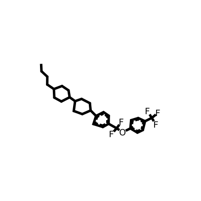 CCCCC1CCC(C2CCC(c3ccc(C(F)(F)Oc4ccc(C(F)(F)F)cc4)cc3)CC2)CC1